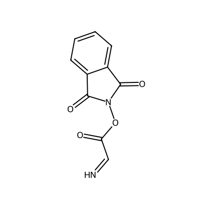 N=CC(=O)ON1C(=O)c2ccccc2C1=O